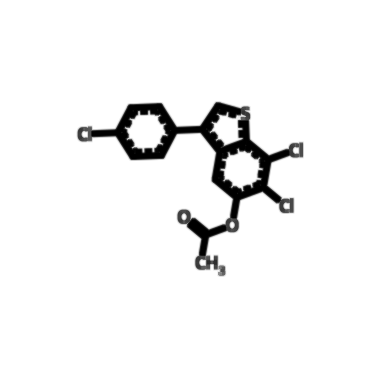 CC(=O)Oc1cc2c(-c3ccc(Cl)cc3)csc2c(Cl)c1Cl